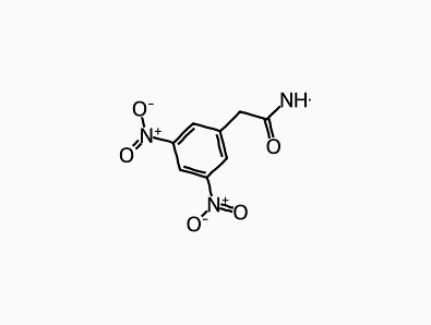 [NH]C(=O)Cc1cc([N+](=O)[O-])cc([N+](=O)[O-])c1